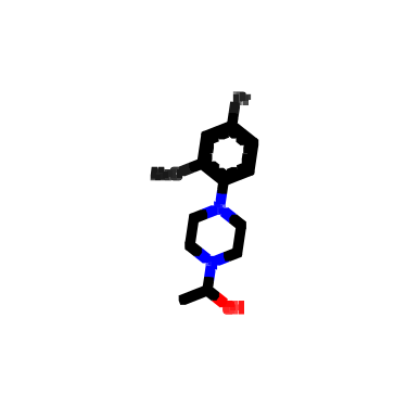 COc1cc(C(C)C)ccc1N1CCN(C(C)O)CC1